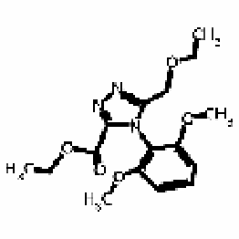 CCOCc1nnc(C(=O)OCC)n1-c1c(OC)cccc1OC